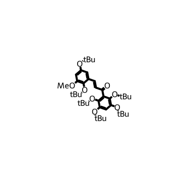 COc1cc(OC(C)(C)C)cc(C=CC(=O)c2c(OC(C)(C)C)c(OC(C)(C)C)cc(OC(C)(C)C)c2OC(C)(C)C)c1OC(C)(C)C